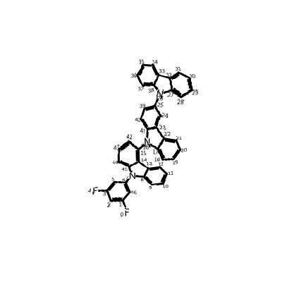 Fc1cc(F)cc(-n2c3ccccc3c3c(-n4c5ccccc5c5cc(-n6c7ccccc7c7ccccc76)ccc54)cccc32)c1